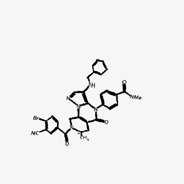 CNC(=O)c1ccc(-n2c(=O)c3c(n4ncc(NCc5ccccc5)c24)CN(C(=O)c2ccc(Br)c(C#N)c2)[C@H](C)C3)cc1